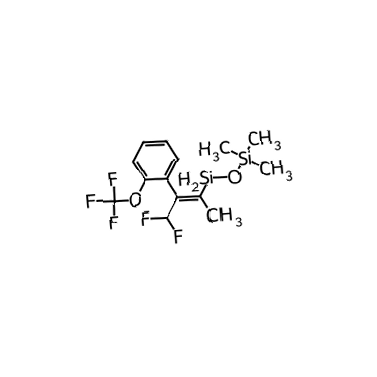 CC([SiH2]O[Si](C)(C)C)=C(c1ccccc1OC(F)(F)F)C(F)F